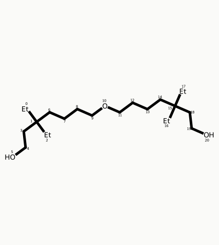 CCC(CC)(CCO)CCCCOCCCCC(CC)(CC)CCO